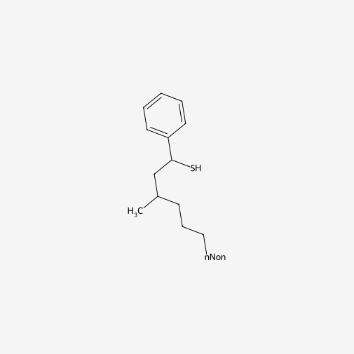 CCCCCCCCCCCCC(C)CC(S)c1ccccc1